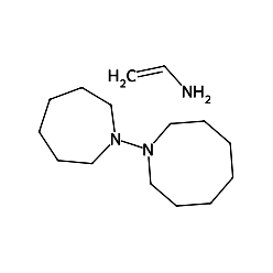 C1CCCN(N2CCCCCC2)CCC1.C=CN